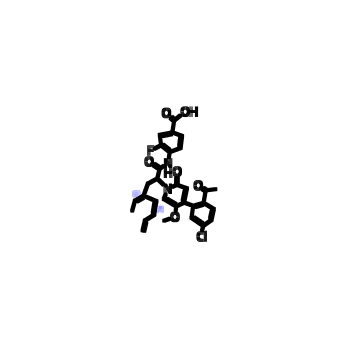 C=C/C=C\C(=C/C)CC(C(=O)Nc1ccc(C(=O)O)cc1F)n1cc(OC)c(-c2cc(Cl)ccc2C(C)=O)cc1=O